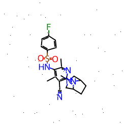 Cc1nc(N2C3CCC2CN(C)C3)c(C#N)c(C)c1NS(=O)(=O)c1ccc(F)cc1